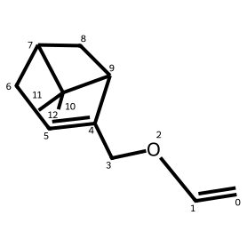 C=COCC1=CCC2CC1C2(C)C